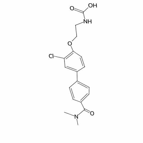 CN(C)C(=O)c1ccc(-c2ccc(OCCNC(=O)O)c(Cl)c2)cc1